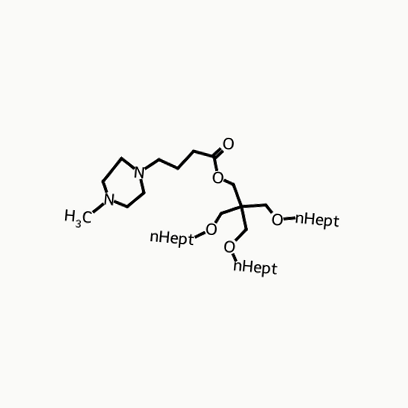 CCCCCCCOCC(COCCCCCCC)(COCCCCCCC)COC(=O)CCCN1CCN(C)CC1